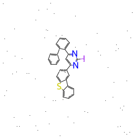 Ic1nc(-c2ccc3sc4ccccc4c3c2)cc(-c2ccccc2-c2ccccc2)n1